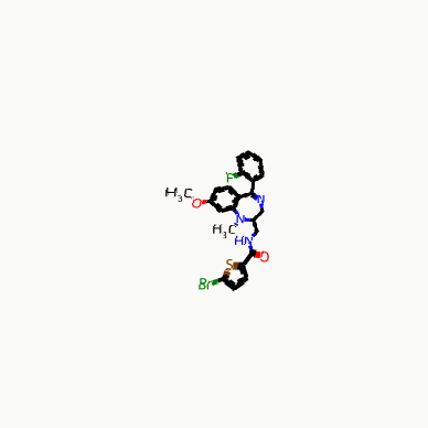 COc1ccc2c(c1)N(C)C(CNC(=O)c1ccc(Br)s1)CN=C2c1ccccc1F